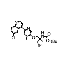 Cc1cc(-c2ccnc3ccc(Cl)cc23)ncc1OCC(C)(CC(C)C)NC(=O)OC(C)(C)C